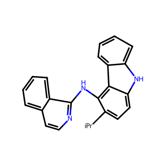 CC(C)c1ccc2[nH]c3ccccc3c2c1Nc1nccc2ccccc12